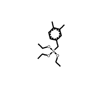 CCO[Si](Cc1ccc(C)c(C)c1)(OCC)OCC